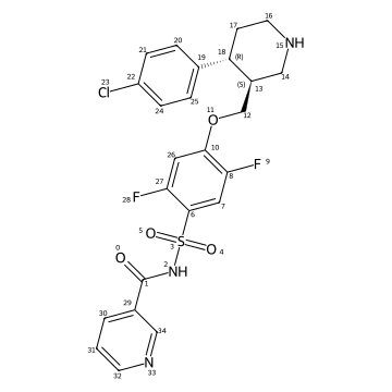 O=C(NS(=O)(=O)c1cc(F)c(OC[C@@H]2CNCC[C@H]2c2ccc(Cl)cc2)cc1F)c1cccnc1